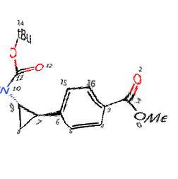 COC(=O)c1ccc([C@H]2C[C@@H]2NC(=O)OC(C)(C)C)cc1